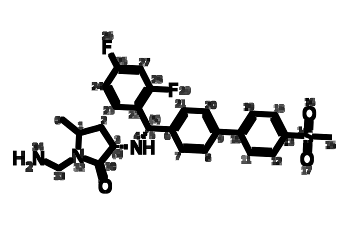 CC1C[C@H](N[C@@H](c2ccc(-c3ccc(S(C)(=O)=O)cc3)cc2)c2ccc(F)cc2F)C(=O)N1CN